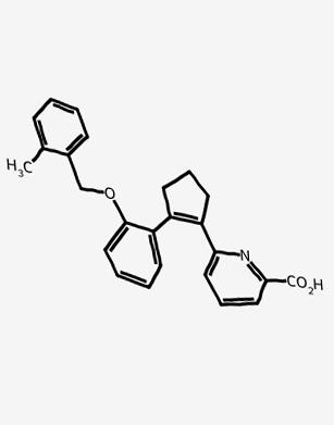 Cc1ccccc1COc1ccccc1C1=C(c2cccc(C(=O)O)n2)CCC1